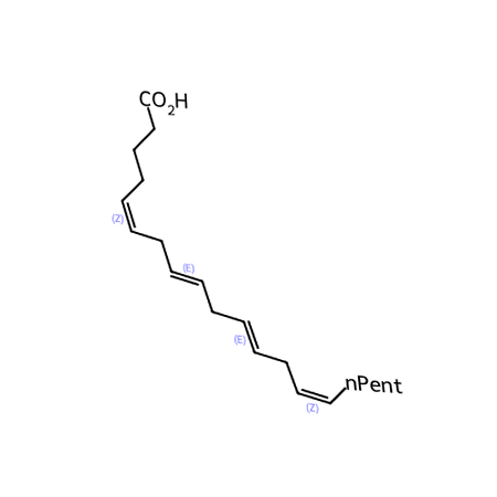 CCCCC/C=C\C/C=C/C/C=C/C/C=C\CCCC(=O)O